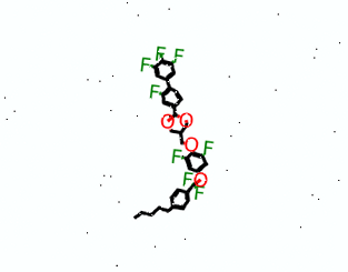 CCCCCc1ccc(C(F)(F)Oc2cc(F)c(OCC3COC(c4ccc(-c5cc(F)c(F)c(F)c5)c(F)c4)OC3)c(F)c2)cc1